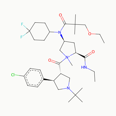 CCNC(=O)[C@@H]1C[C@H](N(C(=O)C(C)(C)COCC)C2CCC(F)(F)CC2)C[N+]1(C)C(=O)[C@@H]1CN(C(C)(C)C)C[C@H]1c1ccc(Cl)cc1